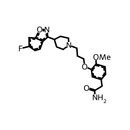 COc1ccc(CC(N)=O)cc1OCCCN1CCC(c2noc3cc(F)ccc23)CC1